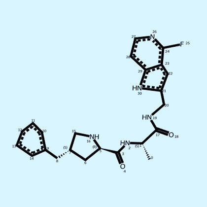 C[C@H](NC(=O)[C@H]1C[C@H](Cc2ccccc2)CN1)C(=O)NCc1cc2c(F)nccc2[nH]1